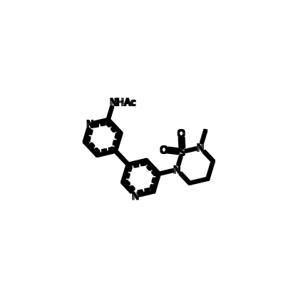 CC(=O)Nc1cc(-c2cncc(N3CCCN(C)S3(=O)=O)c2)ccn1